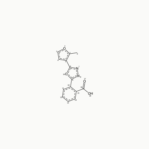 Cc1occc1-c1nnc(-c2ccccc2C(=O)O)o1